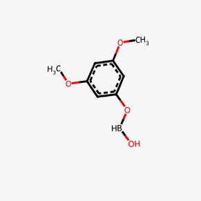 COc1cc(OC)cc(OBO)c1